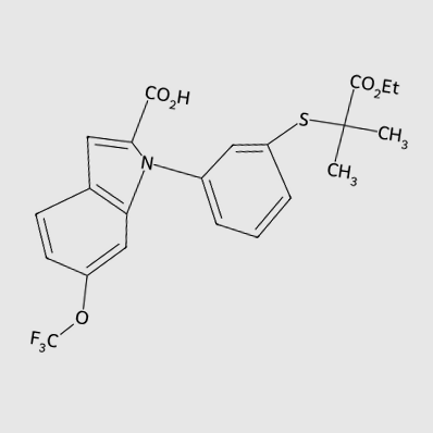 CCOC(=O)C(C)(C)Sc1cccc(-n2c(C(=O)O)cc3ccc(OC(F)(F)F)cc32)c1